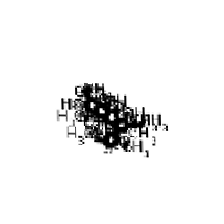 CCC(C)(C)c1cc(-c2cc(CN(C)C)ccc2OC)c2c(c1O)C(=O)C1=C(O)[C@]3(O)C(=O)C(C(N)=O)=C(O)[C@@H](N(C)C)[C@@H]3C[C@@H]1C2